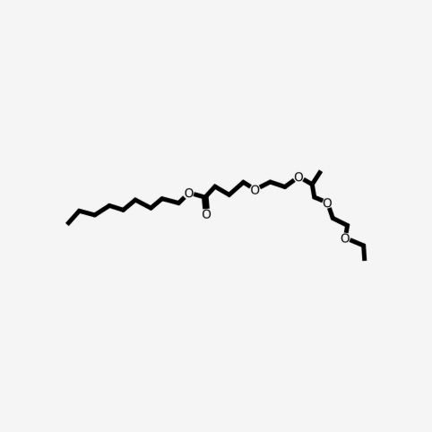 CCCCCCCCCOC(=O)CCCOCCOC(C)COCCOCC